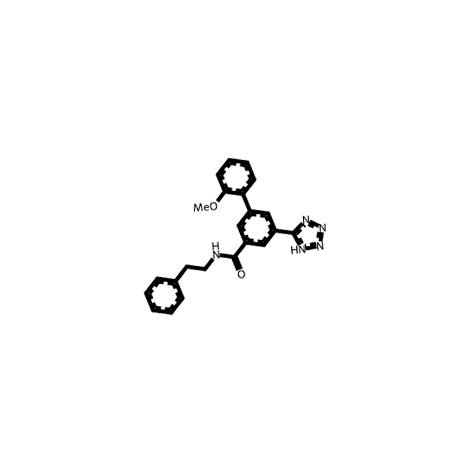 COc1ccccc1-c1cc(C(=O)NCCc2ccccc2)cc(-c2nnn[nH]2)c1